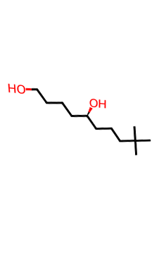 CC(C)(C)CCC[C@H](O)CCCCO